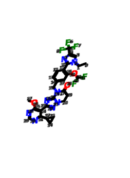 CCn1cc(C(F)(F)F)nc1-c1ccc(CN2C(=O)CCn3nc(-c4c(OC)ncnc4C4CC4)nc32)cc1OC(F)F